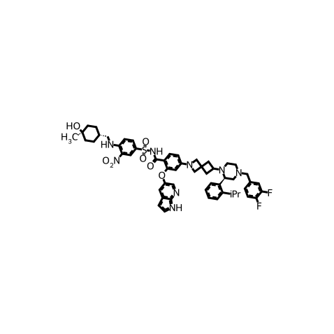 CC(C)c1ccccc1[C@@H]1CN(Cc2ccc(F)c(F)c2)CCN1C1CC2(C1)CN(c1ccc(C(=O)NS(=O)(=O)c3ccc(NC[C@H]4CC[C@](C)(O)CC4)c([N+](=O)[O-])c3)c(Oc3cnc4[nH]ccc4c3)c1)C2